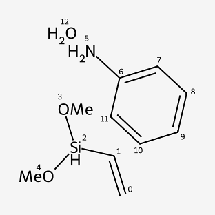 C=C[SiH](OC)OC.Nc1ccccc1.O